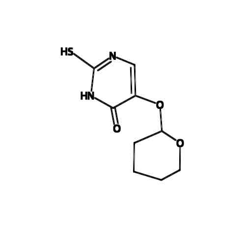 O=c1[nH]c(S)ncc1OC1CCCCO1